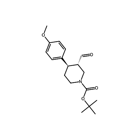 COc1ccc([C@@H]2CCN(C(=O)OC(C)(C)C)C[C@H]2C=O)cc1